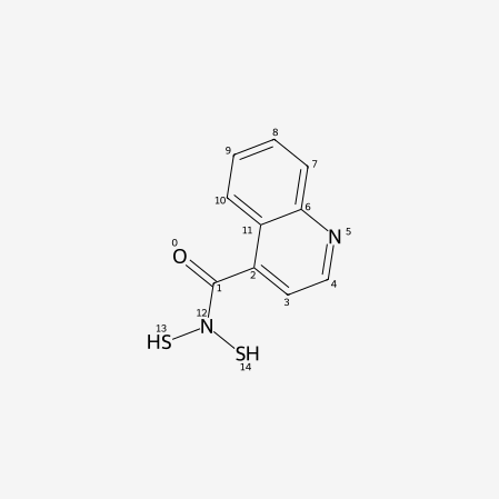 O=C(c1ccnc2ccccc12)N(S)S